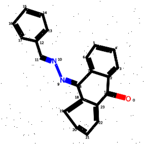 O=C1c2ccccc2C(=NN=Cc2ccccc2)c2ccccc21